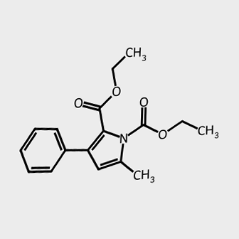 CCOC(=O)c1c(-c2ccccc2)cc(C)n1C(=O)OCC